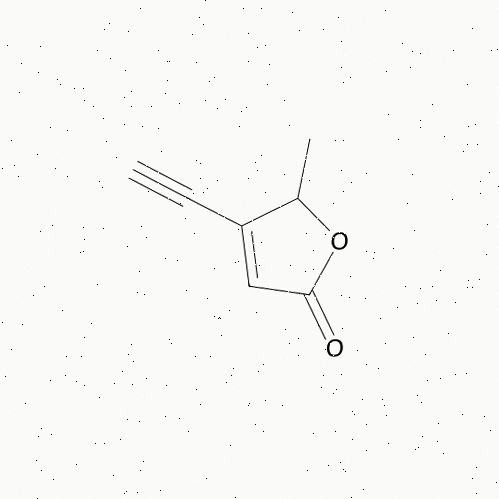 C#CC1=CC(=O)OC1C